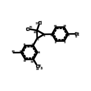 CCc1ccc(C2C(c3cc(C)cc(C(F)(F)F)c3)C2(Cl)Cl)cc1